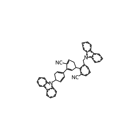 N#CC1=CCC(c2c(C#N)cccc2Cn2c3ccccc3c3ccccc32)C=C1C1=CCC(n2c3ccccc3c3ccccc32)C=C1